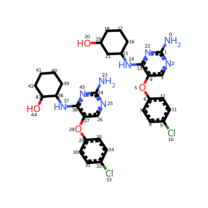 Nc1ncc(Oc2ccc(Cl)cc2)c(NC2CCCC(O)C2)n1.Nc1ncc(Oc2ccc(Cl)cc2)c(NC2CCCCC2O)n1